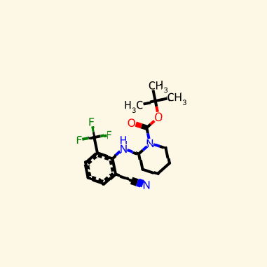 CC(C)(C)OC(=O)N1CCCCC1Nc1c(C#N)cccc1C(F)(F)F